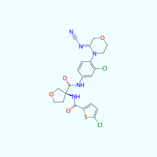 N#C/N=C1\COCCN1c1ccc(NC(=O)[C@]2(NC(=O)c3ccc(Cl)s3)CCOC2)cc1Cl